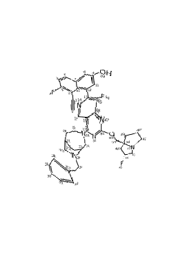 C#Cc1c(F)ccc2cc(O)cc(-c3ncc4c(N5CCC6CC(C5)N(Cc5ccccc5)C6)nc(OC[C@@]56CCCN5C[C@H](F)C6)nc4c3F)c12